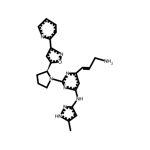 Cc1cc(Nc2cc(/C=C/CN)nc(N3CCC[C@H]3c3cc(-c4ccccn4)no3)n2)n[nH]1